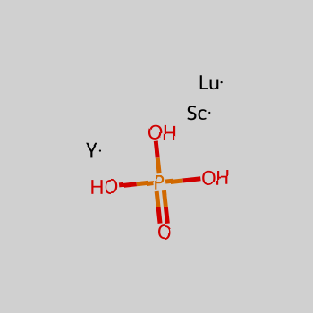 O=P(O)(O)O.[Lu].[Sc].[Y]